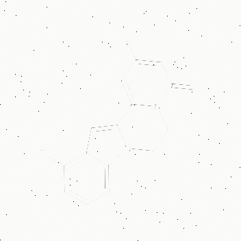 Cc1cc2n(c(=O)c1)CCn1c-2cc2c(F)cccc21